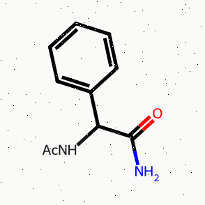 CC(=O)NC(C(N)=O)c1ccccc1